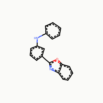 c1ccc(Nc2cccc(-c3nc4ccccc4o3)c2)cc1